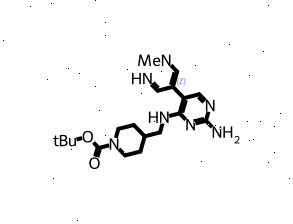 CN/C=C(\C=N)c1cnc(N)nc1NCC1CCN(C(=O)OC(C)(C)C)CC1